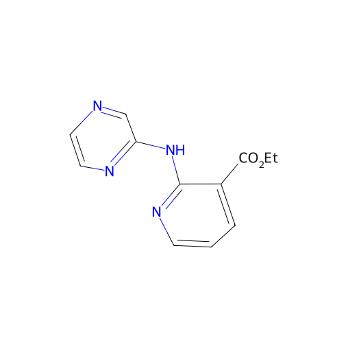 CCOC(=O)c1cccnc1Nc1cnccn1